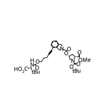 COC(=O)[C@@H]1C[C@@H](OC(=O)N2Cc3cccc(C#CCCCOC(=O)N[C@H](C(=O)O)C(C)(C)C)c3C2)CN1C(=O)OC(C)(C)C